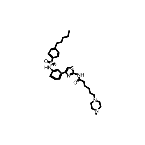 CCCCCc1ccc(S(=O)(=O)Nc2cccc(-c3csc(NC(=O)CCCCCN4CCN(C)CC4)n3)c2)cc1